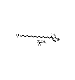 CC(=O)[O-].CCCCCCCCCCCCCCCCC(C)[n+]1cc[nH]c1